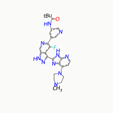 CN1CCN(c2ccnc3[nH]c(-c4n[nH]c5cnc(-c6cncc(NC(=O)C(C)(C)C)c6)c(F)c45)nc23)CC1